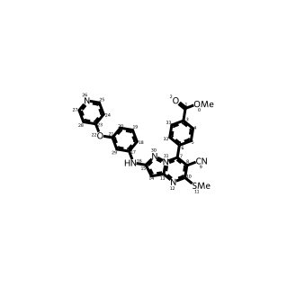 COC(=O)c1ccc(-c2c(C#N)c(SC)nc3cc(Nc4cccc(Oc5ccncc5)c4)nn23)cc1